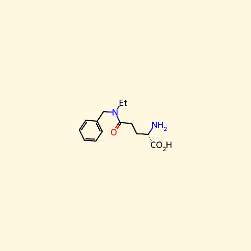 CCN(Cc1ccccc1)C(=O)CC[C@H](N)C(=O)O